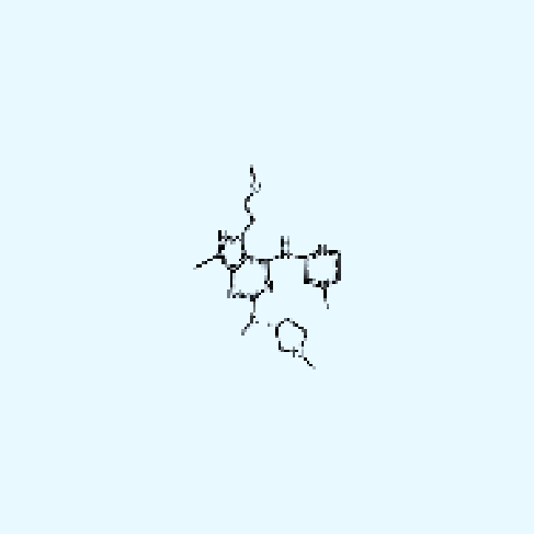 COCCn1nc(C)c2nc(N(C)[C@@H]3CCN(C)C3)nc(Nc3cc(C)ccn3)c21